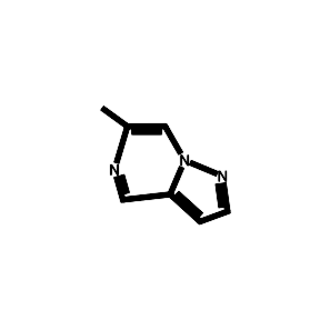 Cc1cn2nccc2cn1